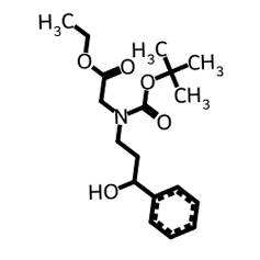 CCOC(=O)CN(CCC(O)c1ccccc1)C(=O)OC(C)(C)C